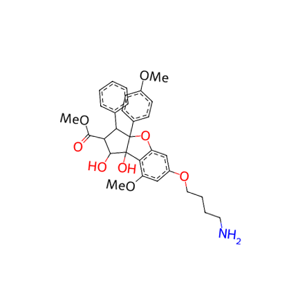 COC(=O)C1C(O)C2(O)c3c(OC)cc(OCCCCN)cc3OC2(c2ccc(OC)cc2)C1c1ccccc1